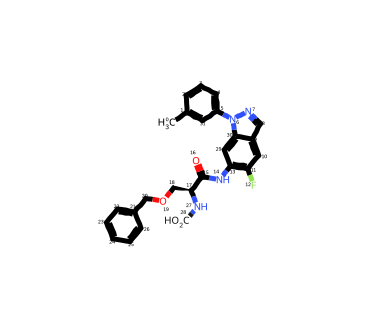 Cc1cccc(-n2ncc3cc(F)c(NC(=O)[C@H](COCc4ccccc4)NC(=O)O)cc32)c1